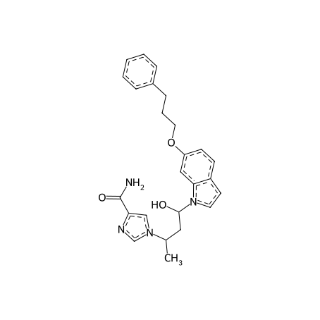 CC(CC(O)n1ccc2ccc(OCCCc3ccccc3)cc21)n1cnc(C(N)=O)c1